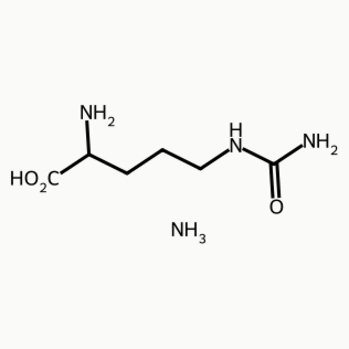 N.NC(=O)NCCCC(N)C(=O)O